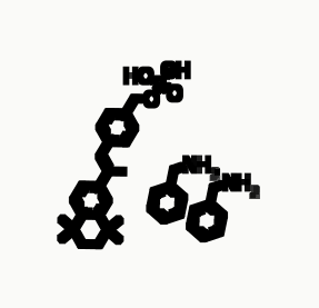 CC(=Cc1ccc(COP(=O)(O)O)cc1)c1ccc2c(c1)C(C)(C)CCC2(C)C.NCc1ccccc1.NCc1ccccc1